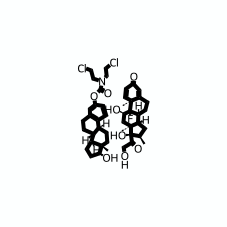 C[C@@H]1C[C@H]2[C@@H]3CCC4=CC(=O)C=C[C@]4(C)[C@@]3(F)[C@@H](O)C[C@]2(C)[C@@]1(O)C(=O)CO.C[C@]12CC[C@@H]3c4ccc(OC(=O)N(CCCl)CCCl)cc4CC[C@H]3[C@@H]1CC[C@@H]2O